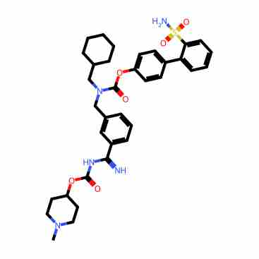 CN1CCC(OC(=O)NC(=N)c2cccc(CN(CC3CCCCC3)C(=O)Oc3ccc(-c4ccccc4S(N)(=O)=O)cc3)c2)CC1